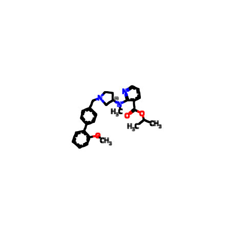 COc1ccccc1-c1ccc(CN2CC[C@@H](N(C)c3ncccc3C(=O)OC(C)C)C2)cc1